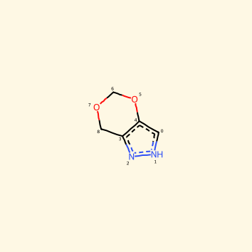 c1[nH]nc2c1OCOC2